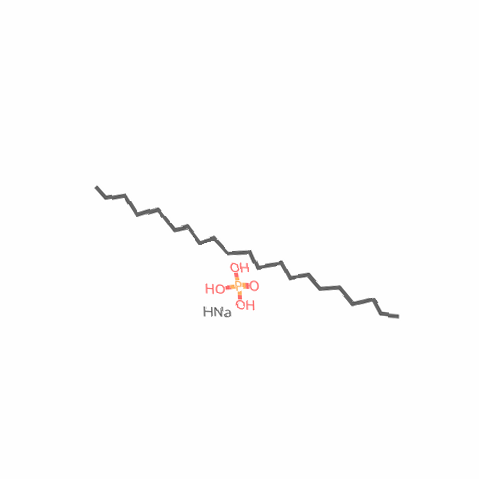 CCCCCCCCCCCCCCCCCCCCC.O=P(O)(O)O.[NaH]